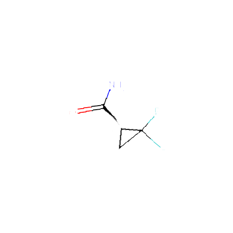 NC(=O)[C@@H]1CC1(F)F